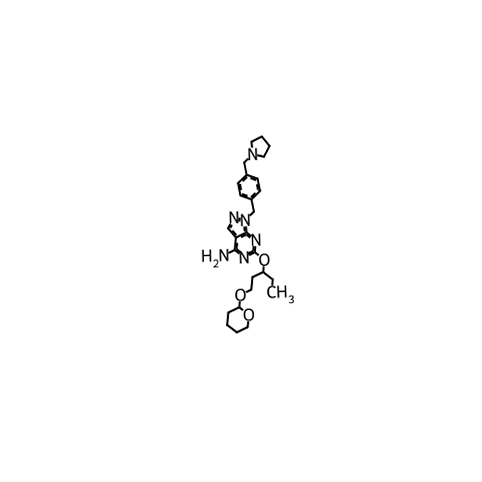 CCC(CCOC1CCCCO1)Oc1nc(N)c2cnn(Cc3ccc(CN4CCCC4)cc3)c2n1